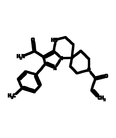 C=CC(=O)N1CCC2(CCNc3c(C(N)=O)c(-c4ccc(C)cc4)nn32)CC1